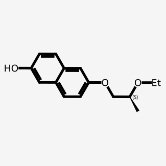 CCO[C@@H](C)COc1ccc2cc(O)ccc2c1